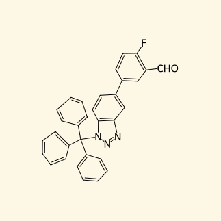 O=Cc1cc(-c2ccc3c(c2)nnn3C(c2ccccc2)(c2ccccc2)c2ccccc2)ccc1F